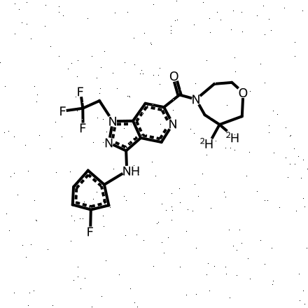 [2H]C1([2H])COCCN(C(=O)c2cc3c(cn2)c(Nc2cccc(F)c2)nn3CC(F)(F)F)C1